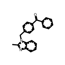 Cc1nc2ccccc2n1Cc1ccc(C(=O)c2ccccc2)cc1